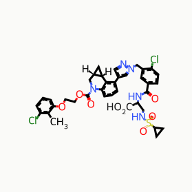 Cc1c(Cl)cccc1OCCOC(=O)N1C[C@@H]2C[C@@H]2c2c(-c3cnn(Cc4cc(C(=O)NC(CNS(=O)(=O)C5CC5)C(=O)O)ccc4Cl)c3)cccc21